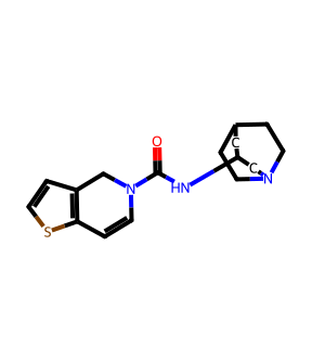 O=C(NC1CC2CCN(CC2)C1)N1C=Cc2sccc2C1